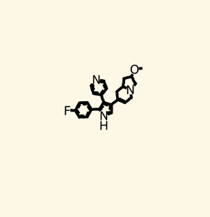 COC1CC2CC(c3c[nH]c(-c4ccc(F)cc4)c3-c3ccncc3)=CCN2C1